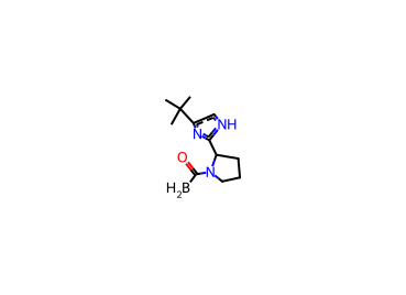 BC(=O)N1CCCC1c1nc(C(C)(C)C)c[nH]1